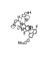 CCc1c(F)ccc2cc(OCOC)cc(-c3ncc4c(N5CCC[C@@](C)(O)C5)nc(OC[C@@H]5CCCN5C)nc4c3F)c12